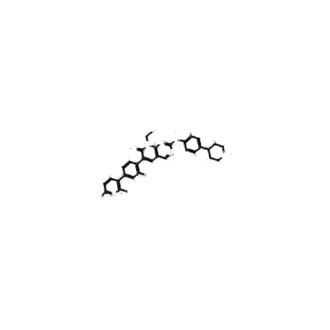 CCn1c(=O)c(-c2ccc(-c3ccc(F)nc3C)cc2Cl)cc2cnc(Nc3ccc(C4CCNCC4)cc3)nc21